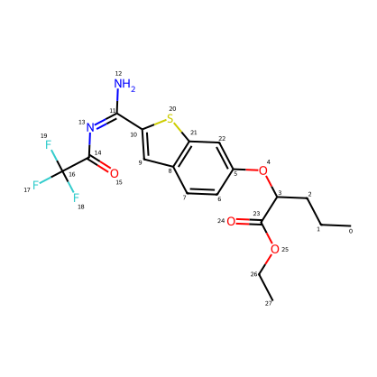 CCCC(Oc1ccc2cc(/C(N)=N\C(=O)C(F)(F)F)sc2c1)C(=O)OCC